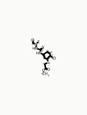 COC(=O)CSc1cc(NC(=S)NN(F)C=O)ccc1Cl